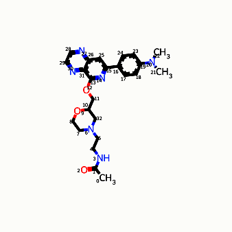 CC(=O)NCCN1CCOC(COc2nc(-c3ccc(N(C)C)cc3)cc3nccnc23)C1